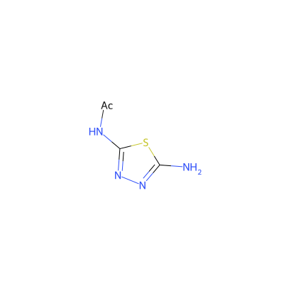 CC(=O)Nc1nnc(N)s1